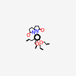 C=CCOc1ccc(N2C(=O)CCC23CCC(=O)N3c2ccc(OCC=C)c(CC=C)c2)cc1CC=C